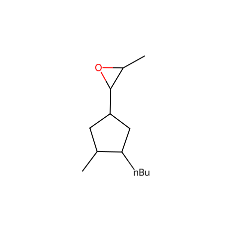 CCCCC1CC(C2OC2C)CC1C